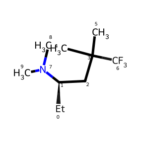 CC[C@H](CC(C)(C)C(F)(F)F)N(C)C